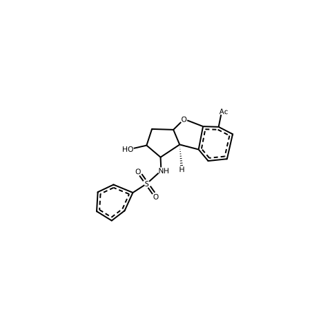 CC(=O)c1cccc2c1OC1CC(O)C(NS(=O)(=O)c3ccccc3)[C@H]21